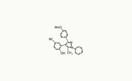 COc1ccc(-c2nn(-c3ccccc3)c(C)c2-c2cc(C#N)ccc2O)cc1